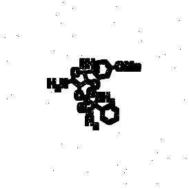 BC(B)(c1ccccc1)S(=O)(=O)OC1=C(N)O[C@@](B)(c2ccc(OC)cc2)C1=O